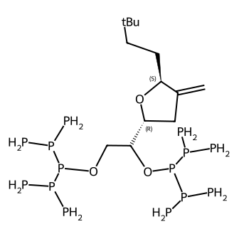 C=C1C[C@H](C(COP(P(P)P)P(P)P)OP(P(P)P)P(P)P)O[C@H]1CCC(C)(C)C